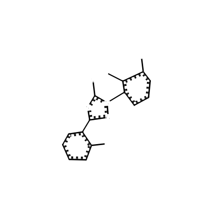 Cc1c(Cl)cccc1-n1nc(-c2ccccc2Cl)nc1Cl